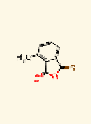 Cc1cccc2c1C(=O)OC2=S